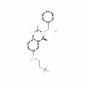 CC[C@@H](c1ccccc1)n1c(C)nc2ccc(N(C)CCC(F)(F)F)cc2c1=O